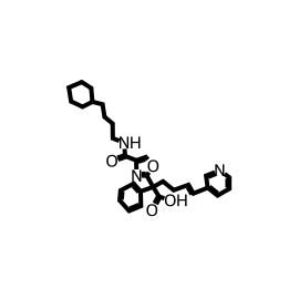 O=C(NCCCCC1CCCCC1)c1coc(C(CCC=Cc2cccnc2)(C(=O)O)c2ccccc2)n1